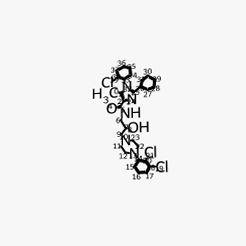 Cc1c(C(=O)NCC(O)CN2CCN(c3cccc(Cl)c3Cl)CC2)nc(-c2ccccc2)n1-c1ccccc1Cl